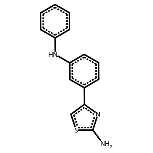 Nc1nc(-c2cccc(Nc3ccccc3)c2)cs1